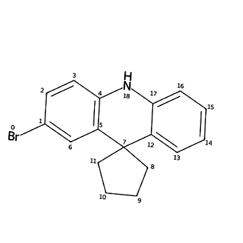 Brc1ccc2c(c1)C1(CCCC1)c1ccccc1N2